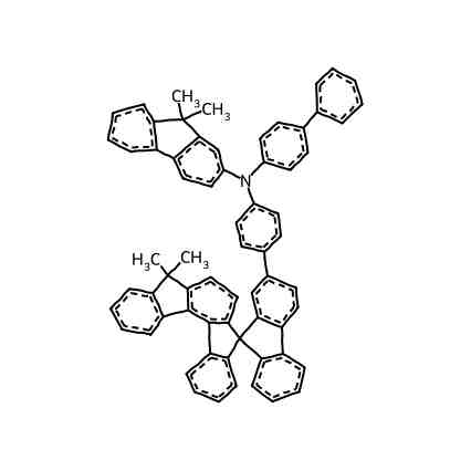 CC1(C)c2ccccc2-c2ccc(N(c3ccc(-c4ccccc4)cc3)c3ccc(-c4ccc5c(c4)C4(c6ccccc6-5)c5ccccc5-c5c4ccc4c5-c5ccccc5C4(C)C)cc3)cc21